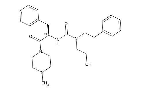 CN1CCN(C(=O)[C@@H](Cc2ccccc2)NC(=O)N(CCO)CCc2ccccc2)CC1